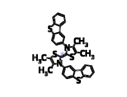 CC1=C(C)N(c2ccc3sc4ccccc4c3c2)/C(=C2\SC(C)=C(C)N2c2ccc3sc4ccccc4c3c2)S1